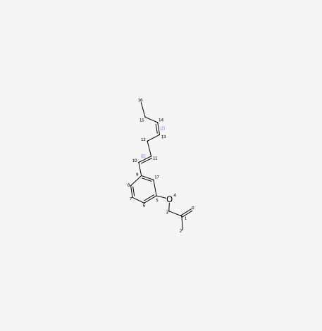 C=C(C)COc1cccc(/C=C/C/C=C\CC)c1